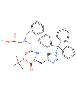 COC(=O)CN(CC(=O)N[C@@H](Cc1cn(C(c2ccccc2)(c2ccccc2)c2ccccc2)cn1)C(=O)OC(C)(C)C)Cc1ccccc1